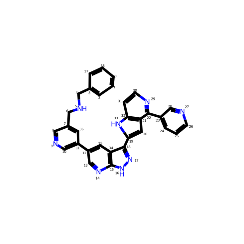 c1ccc(CNCc2cncc(-c3cnc4[nH]nc(-c5cc6c(-c7cccnc7)nccc6[nH]5)c4c3)c2)cc1